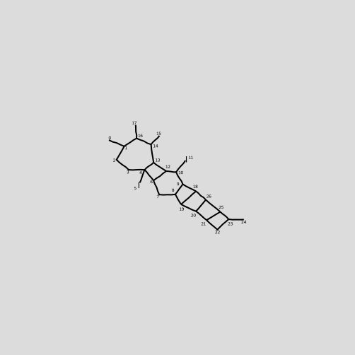 CC1CCC2(I)C3CC4C(C(I)C3C2C(C)C1C)C1C4C2C3CC(C)C3C21